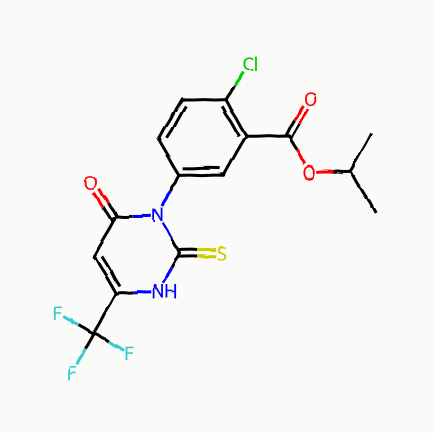 CC(C)OC(=O)c1cc(-n2c(=O)cc(C(F)(F)F)[nH]c2=S)ccc1Cl